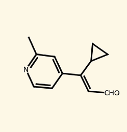 Cc1cc(C(=CC=O)C2CC2)ccn1